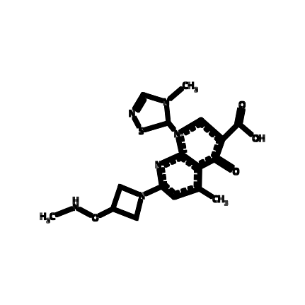 CNOC1CN(c2cc(C)c3c(=O)c(C(=O)O)cn(C4SN=CN4C)c3n2)C1